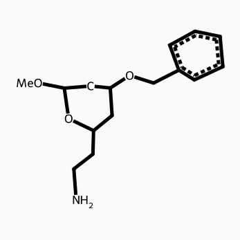 COC1CC(OCc2ccccc2)CC(CCN)O1